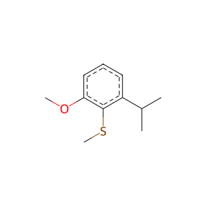 COc1cccc(C(C)C)c1SC